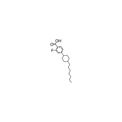 CCCCCCCC1CCC(c2ccc(C(=O)O)c(F)c2)CC1